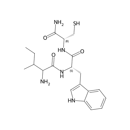 CCC(C)C(N)C(=O)N[C@@H](Cc1c[nH]c2ccccc12)C(=O)N[C@@H](CS)C(N)=O